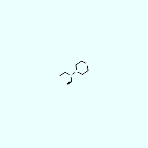 CCN([C]=O)N1CCSCC1